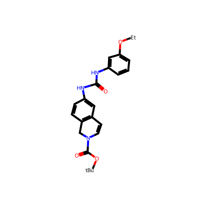 CCOc1cccc(NC(=O)Nc2ccc3c(c2)C=CN(C(=O)OC(C)(C)C)C3)c1